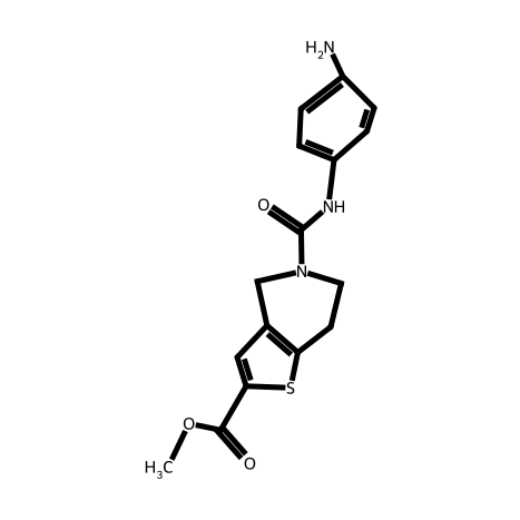 COC(=O)c1cc2c(s1)CCN(C(=O)Nc1ccc(N)cc1)C2